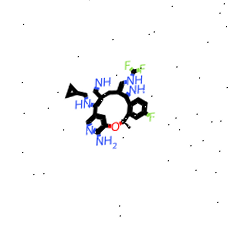 C[C@H]1Oc2cc(cnc2N)/C(NCC2CC2)=C(/C=N)C/C(=C/NC(F)F)C(=N)c2ccc(F)cc21